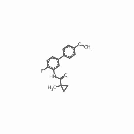 COc1ccc(-c2ccc(F)c(NC(=O)C3(C)CC3)c2)cc1